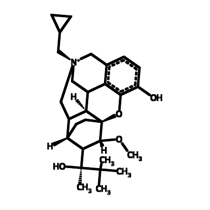 CO[C@@H]1C([C@](C)(O)C(C)(C)C)[C@H]2CC[C@@]13Oc1c(O)ccc4c1C1C[N@@+](CC5CC5)(C4)CC2[C@@H]13